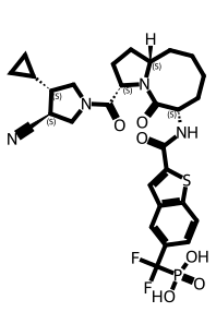 N#C[C@@H]1CN(C(=O)[C@@H]2CC[C@@H]3CCCC[C@H](NC(=O)c4cc5cc(C(F)(F)P(=O)(O)O)ccc5s4)C(=O)N32)C[C@H]1C1CC1